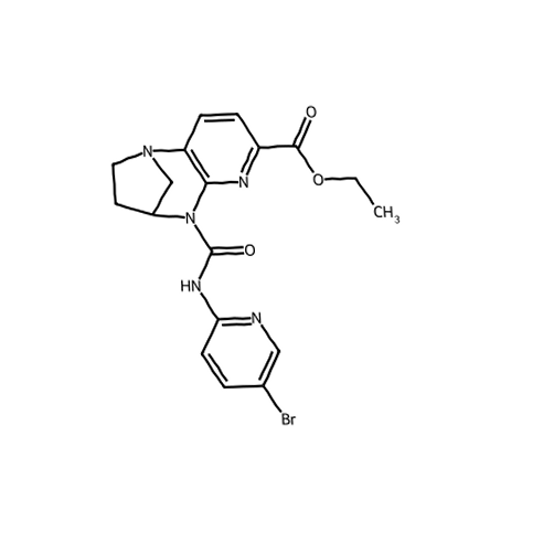 CCOC(=O)c1ccc2c(n1)N(C(=O)Nc1ccc(Br)cn1)C1CCN2C1